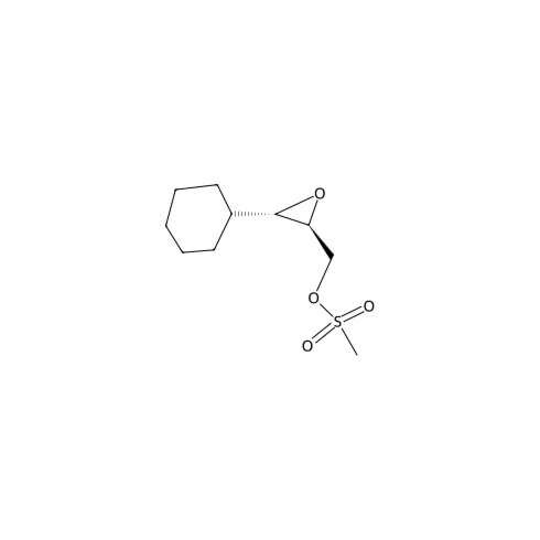 CS(=O)(=O)OC[C@@H]1O[C@H]1C1CCCCC1